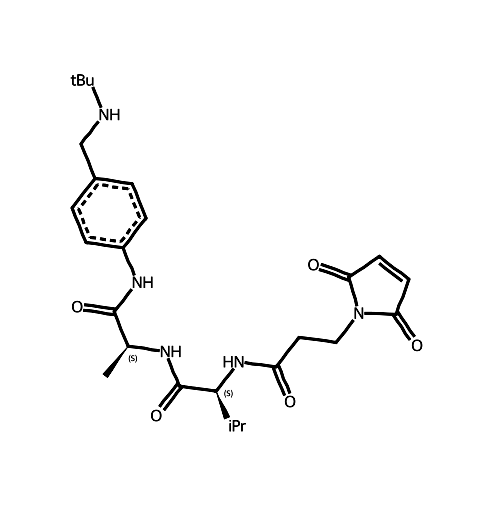 CC(C)[C@H](NC(=O)CCN1C(=O)C=CC1=O)C(=O)N[C@@H](C)C(=O)Nc1ccc(CNC(C)(C)C)cc1